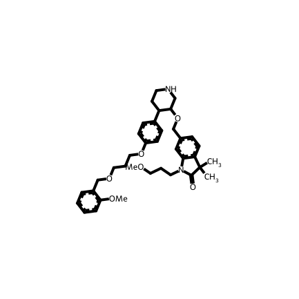 COCCCN1C(=O)C(C)(C)c2ccc(COC3CNCCC3c3ccc(OCCCOCc4ccccc4OC)cc3)cc21